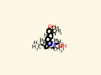 C=C(C)[C@@H]1CC[C@]2(CC(C)NC(C)(C)CO)CC[C@]3(C)[C@H](CC[C@@H]4[C@@]5(C)CC[C@H](O)C(C)(C)[C@@H]5CC[C@]43C)[C@@H]12